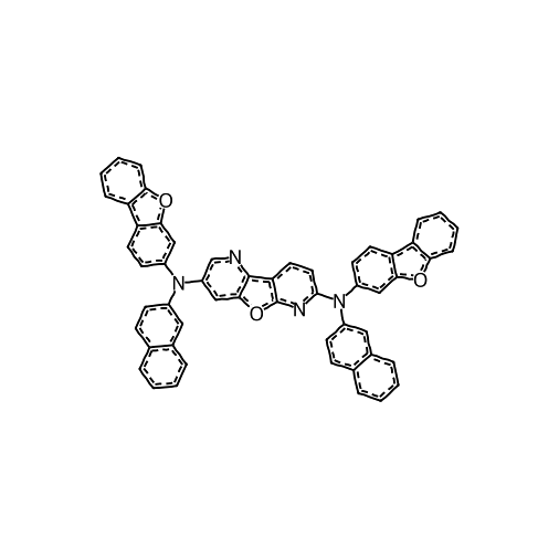 c1ccc2cc(N(c3ccc4c(c3)oc3ccccc34)c3cnc4c(c3)oc3nc(N(c5ccc6ccccc6c5)c5ccc6c(c5)oc5ccccc56)ccc34)ccc2c1